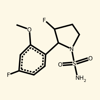 COc1cc(F)ccc1C1C(F)CCN1S(N)(=O)=O